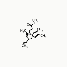 CC=CC(C=CC)CC(C=CC)(C=CC)NCCC(=O)OC